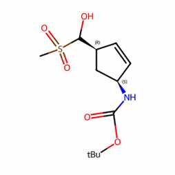 CC(C)(C)OC(=O)N[C@@H]1C=C[C@H](C(O)S(C)(=O)=O)C1